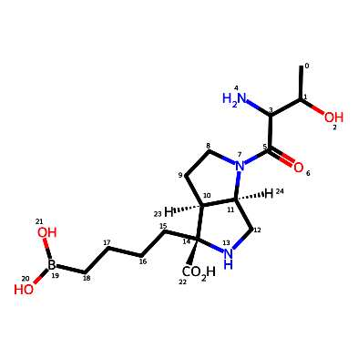 CC(O)C(N)C(=O)N1CC[C@H]2[C@@H]1CN[C@@]2(CCCCB(O)O)C(=O)O